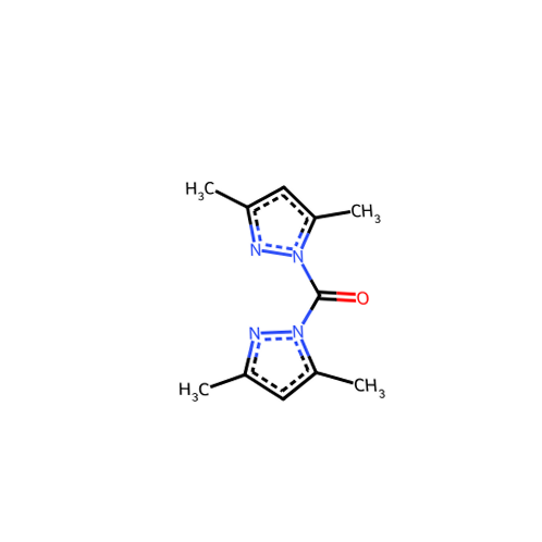 Cc1cc(C)n(C(=O)n2nc(C)cc2C)n1